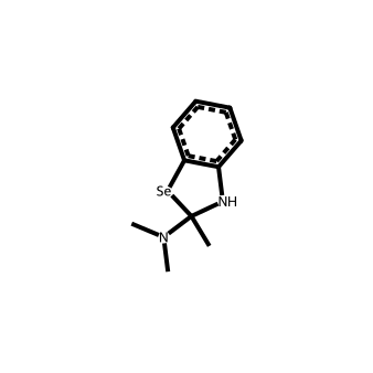 CN(C)C1(C)Nc2ccccc2[Se]1